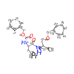 CC(C)CC(NC(=O)OCc1ccccc1)C(=O)NC(C#N)COCc1ccccc1